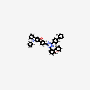 c1ccc(-c2ccc(-c3nc(-c4ccc5c(c4)oc4cc6c7ccccc7n(-c7ccccc7)c6cc45)nc(-c4cccc5oc6ccccc6c45)n3)cc2)cc1